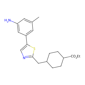 CCOC(=O)C1CCC(Cc2ncc(-c3cc(C)cc(N)c3)s2)CC1